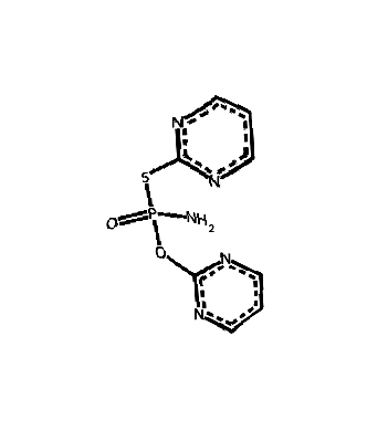 NP(=O)(Oc1ncccn1)Sc1ncccn1